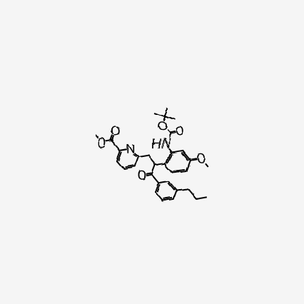 CCCc1cccc(C(=O)C(Cc2cccc(C(=O)OC)n2)c2ccc(OC)cc2NC(=O)OC(C)(C)C)c1